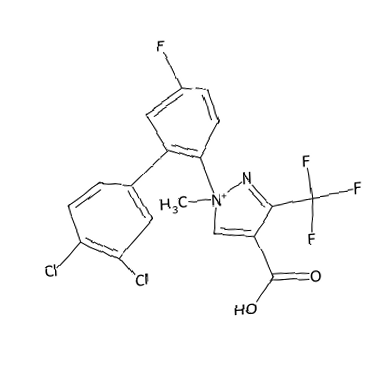 C[N+]1(c2ccc(F)cc2-c2ccc(Cl)c(Cl)c2)C=C(C(=O)O)C(C(F)(F)F)=N1